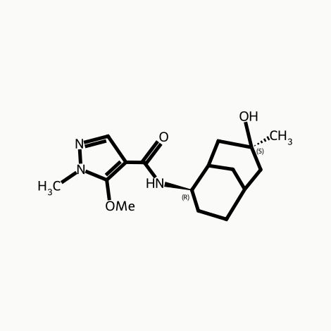 COc1c(C(=O)N[C@@H]2CCC3CC2C[C@@](C)(O)C3)cnn1C